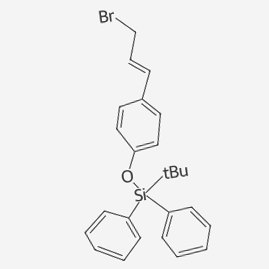 CC(C)(C)[Si](Oc1ccc(C=CCBr)cc1)(c1ccccc1)c1ccccc1